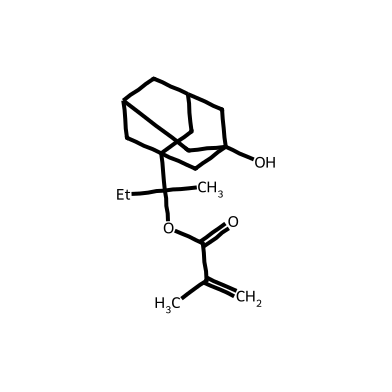 C=C(C)C(=O)OC(C)(CC)C12CC3CC(CC(O)(C3)C1)C2